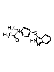 CC(=O)N(C)c1ccc(Sc2[nH]nc3ccccc23)cc1